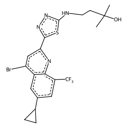 CC(C)(O)CCNc1nnc(-c2cc(Br)c3cc(C4CC4)cc(C(F)(F)F)c3n2)s1